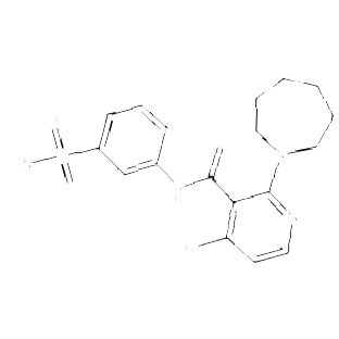 NS(=O)(=O)c1cccc(NC(=O)c2c(Br)ccnc2N2CCCCCC2)c1